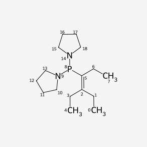 CCC(CC)=C(CC)P(N1CCCC1)N1CCCC1